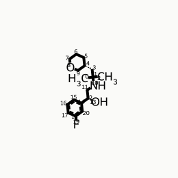 CC(C)(C[C@H]1CCCOC1)NC[C@H](O)c1cccc(F)c1